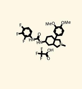 COc1ccc(C23CCC(NC(=O)Nc4ccc(F)c(F)c4F)CC2CN(C)C3)cc1OC.O=C(O)C(F)(F)F